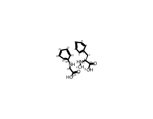 CN[C@@H](Cc1ccccc1)C(=O)O.O=C(O)CNc1ccccc1